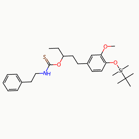 CCC(CCc1ccc(O[Si](C)(C)C(C)(C)C)c(OC)c1)OC(=S)NCCc1ccccc1